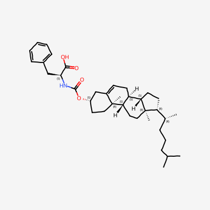 CC(C)CCC[C@@H](C)[C@H]1CC[C@H]2[C@@H]3CC=C4C[C@@H](OC(=O)N[C@@H](Cc5ccccc5)C(=O)O)CC[C@]4(C)[C@H]3CC[C@]12C